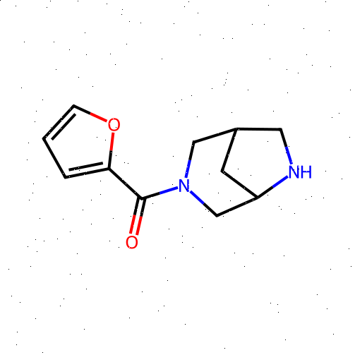 O=C(c1ccco1)N1CC2CNC(C2)C1